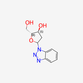 OC[C@H]1OC(n2nnc3ccccc32)C[C@@H]1O